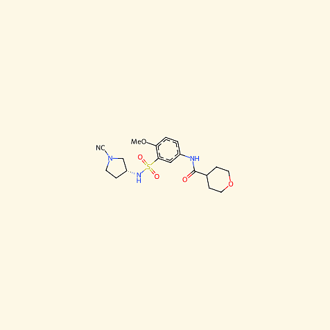 COc1ccc(NC(=O)C2CCOCC2)cc1S(=O)(=O)N[C@@H]1CCN(C#N)C1